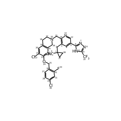 N#CC1(Cc2cc(-c3nnc(C(F)(F)F)[nH]3)cnc2CN2CCc3cc(Cl)c(OCc4ccc(Cl)cc4F)nc3C2)CC1